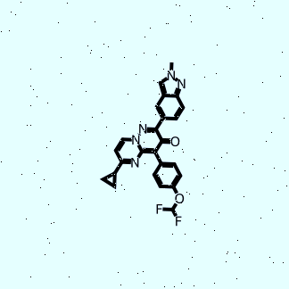 Cn1cc2cc(-c3nn4ccc(C5CC5)nc4c(-c4ccc(OC(F)F)cc4)c3=O)ccc2n1